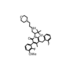 COc1cccc(-c2c(C)c(Cc3c(F)cccc3F)c3n(c2=O)C(CNCCN2CCOCC2)C(C)(C)S3)c1F